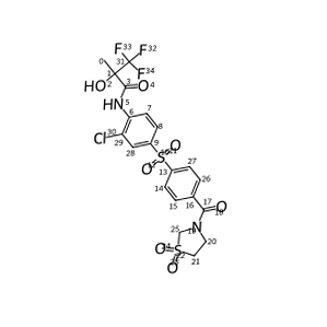 CC(O)(C(=O)Nc1ccc(S(=O)(=O)c2ccc(C(=O)N3CCS(=O)(=O)C3)cc2)cc1Cl)C(F)(F)F